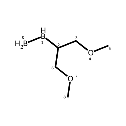 BBC(COC)COC